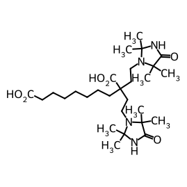 CC1(C)NC(=O)C(C)(C)N1CCC(CCCCCCCC(=O)O)(CCN1C(C)(C)NC(=O)C1(C)C)C(=O)O